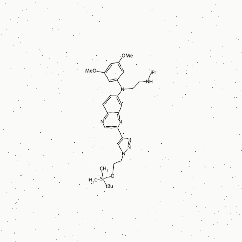 COc1cc(OC)cc(N(CCNC(C)C)c2ccc3ncc(-c4cnn(CCO[Si](C)(C)C(C)(C)C)c4)nc3c2)c1